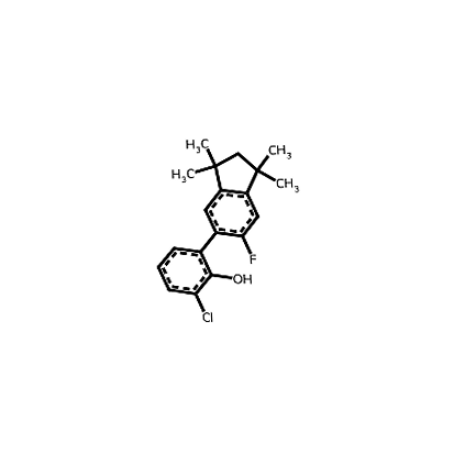 CC1(C)CC(C)(C)c2cc(-c3cccc(Cl)c3O)c(F)cc21